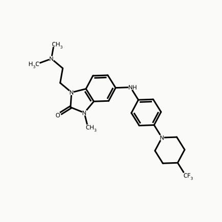 CN(C)CCn1c(=O)n(C)c2cc(Nc3ccc(N4CCC(C(F)(F)F)CC4)cc3)ccc21